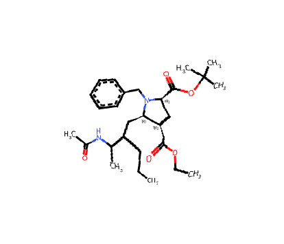 CCCC(C[C@@H]1[C@H](C(=O)OCC)C[C@H](C(=O)OC(C)(C)C)N1Cc1ccccc1)C(C)NC(C)=O